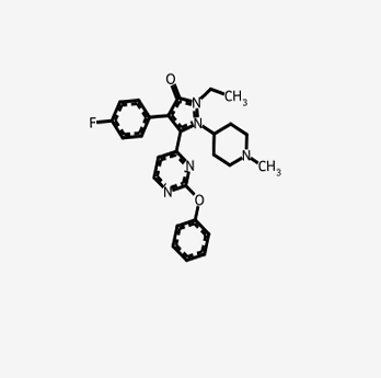 CCn1c(=O)c(-c2ccc(F)cc2)c(-c2ccnc(Oc3ccccc3)n2)n1C1CCN(C)CC1